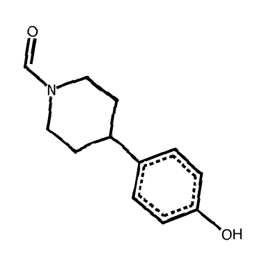 O=CN1CCC(c2ccc(O)cc2)CC1